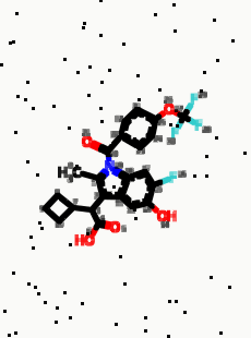 Cc1c(C(C(=O)O)C2CCC2)c2cc(O)c(F)cc2n1C(=O)c1ccc(OC(F)(F)F)cc1